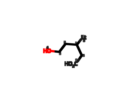 [CH2]CC(CCO)CC(=O)O